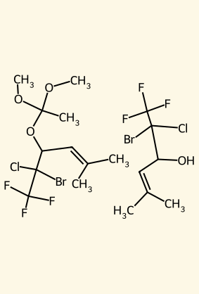 CC(C)=CC(O)C(Cl)(Br)C(F)(F)F.COC(C)(OC)OC(C=C(C)C)C(Cl)(Br)C(F)(F)F